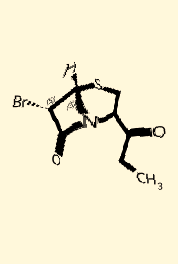 CCC(=O)C1CS[C@H]2[C@@H](Br)C(=O)N12